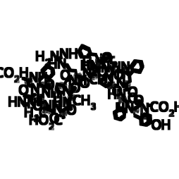 CC(C)C[C@H](NC(=O)[C@H](Cc1ccccc1)NC(=O)[C@H](C)NC(=O)[C@H](CCCNC(=N)N)NC(=O)[C@@H]1CCCN1C(=O)[C@H](C)NC(=O)[C@H](CC(=O)O)NC(=O)[C@H](C)NC(=O)[C@H](Cc1c[nH]cn1)NC(=O)[C@H](Cc1ccccc1)NC(=O)[C@@H](N)CC(=O)O)C(=O)N1CCC[C@H]1C(=O)N[C@@H](Cc1c[nH]c2ccccc12)C(=O)N[C@@H](Cc1ccccc1)C(=O)N[C@@H](Cc1ccc(O)cc1)C(=O)NCC(=O)O